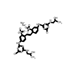 CC(O)CNc1nc(Cl)nc(Nc2ccc(C=Cc3ccc(Nc4nc(Cl)nc(NCC(C)O)n4)cc3S(=O)(=O)[O-])c(S(=O)(=O)[O-])c2)n1.[Na+].[Na+]